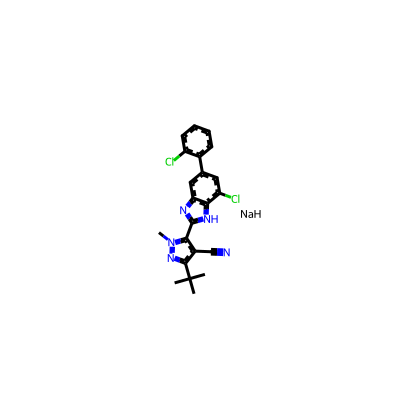 Cn1nc(C(C)(C)C)c(C#N)c1-c1nc2cc(-c3ccccc3Cl)cc(Cl)c2[nH]1.[NaH]